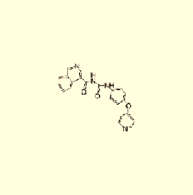 O=C(NC(=O)c1cncc2ccccc12)Nc1ccc(Oc2ccncc2)cc1